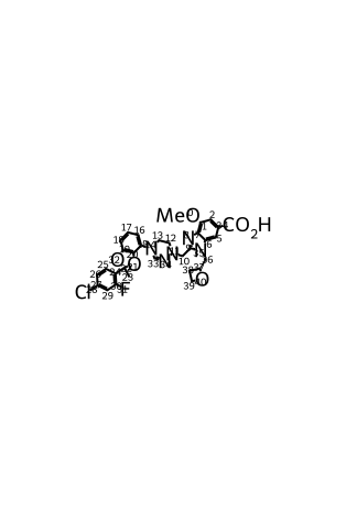 COc1cc(C(=O)O)cc2c1nc(CN1CCN(c3cccc4c3OC(C)(c3ccc(Cl)cc3F)O4)C=N1)n2C[C@@H]1CCO1